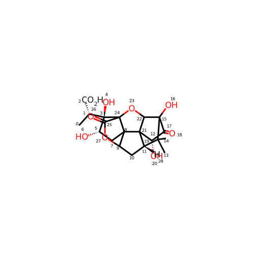 C[C@H](C(=O)O)[C@@]1(O)[C@@H](O)CC23C4C[C@H]5C(C)(C)C6(O)C(=O)[C@H](O)C52C6OC31C(=O)O4